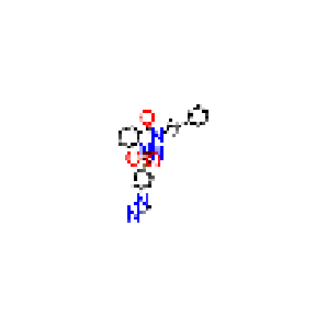 O=C(NC12CC(c3ccccc3)(C1)C2)c1ccccc1NS(=O)(=O)c1ccc(-n2ccnc2)cc1